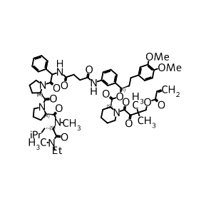 C=CC(=O)OCC(C)(C)C(=O)C(=O)N1CCCC[C@H]1C(=O)O[C@H](CCc1ccc(OC)c(OC)c1)c1cccc(NC(=O)CCC(=O)NC(C(=O)N2CCC[C@@H]2C(=O)N2CCC[C@@H]2C(=O)N(C)[C@@H](CC(C)C)C(=O)N(C)CC)c2ccccc2)c1